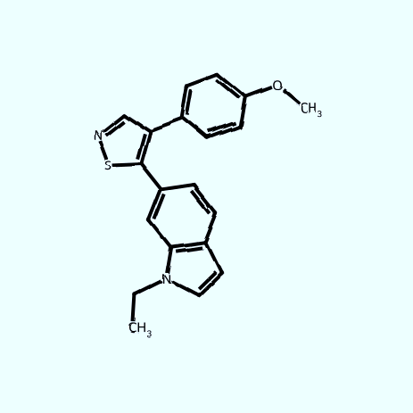 CCn1ccc2ccc(-c3sncc3-c3ccc(OC)cc3)cc21